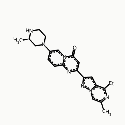 CCc1nc(C)cn2nc(-c3cc(=O)n4cc(N5CCN[C@H](C)C5)ccc4n3)cc12